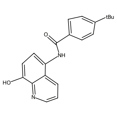 CC(C)(C)c1ccc(C(=O)Nc2ccc(O)c3ncccc23)cc1